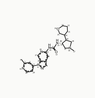 Cc1cc(-n2ncc3cc(NC(=O)N[C@H]4CN(C)CC4C4CCCOC4)ncc32)ccn1